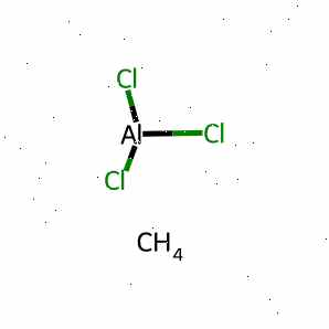 C.[Cl][Al]([Cl])[Cl]